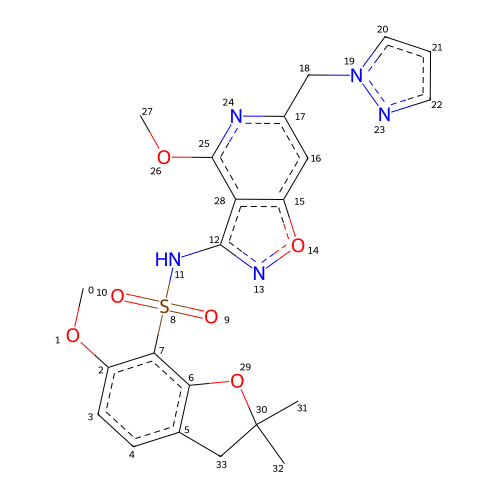 COc1ccc2c(c1S(=O)(=O)Nc1noc3cc(Cn4cccn4)nc(OC)c13)OC(C)(C)C2